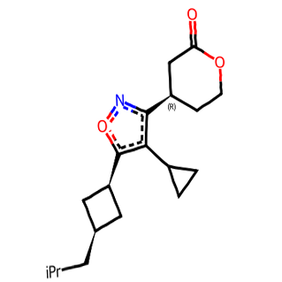 CC(C)C[C@H]1C[C@@H](c2onc([C@@H]3CCOC(=O)C3)c2C2CC2)C1